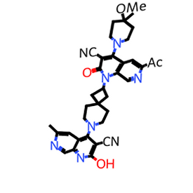 COC1(C)CCN(c2c(C#N)c(=O)n(C3CC4(CCN(c5c(C#N)c(O)nc6cnc(C)cc56)CC4)C3)c3cnc(C(C)=O)cc23)CC1